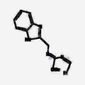 CC/C=N\C(=N/Cc1nc2ccccc2[nH]1)OC